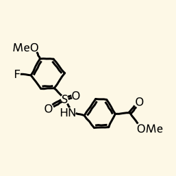 COC(=O)c1ccc(NS(=O)(=O)c2ccc(OC)c(F)c2)cc1